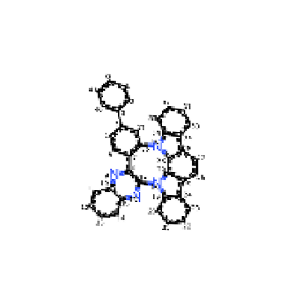 c1ccc(-c2ccc3c4nc5ccccc5nc4n4c5ccccc5c5ccc6c7ccccc7n(c3c2)c6c54)cc1